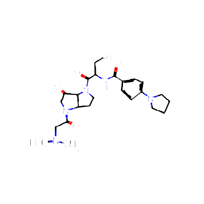 CC(C)CC(NC(=O)c1ccc(N2CCCC2)cc1)C(=O)N1CCC2C1C(=O)CN2C(=O)CN(C)C